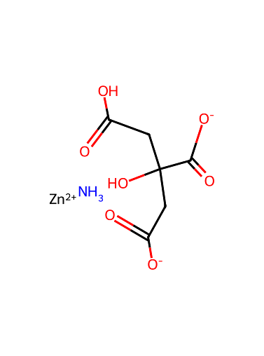 N.O=C([O-])CC(O)(CC(=O)O)C(=O)[O-].[Zn+2]